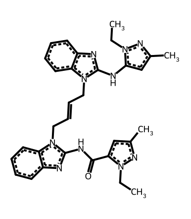 CCn1nc(C)cc1Nc1nc2ccccc2n1C/C=C/Cn1c(NC(=O)c2cc(C)nn2CC)nc2ccccc21